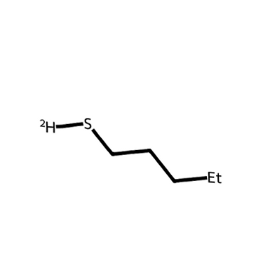 [2H]SCCCCC